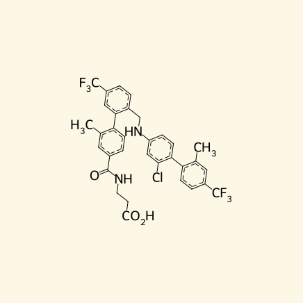 Cc1cc(C(F)(F)F)ccc1-c1ccc(NCc2ccc(C(F)(F)F)cc2-c2ccc(C(=O)NCCC(=O)O)cc2C)cc1Cl